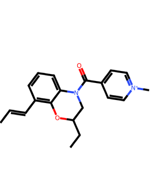 CC=Cc1cccc2c1OC(CC)CN2C(=O)c1cc[n+](C)cc1